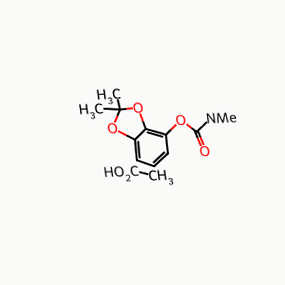 CC(=O)O.CNC(=O)Oc1cccc2c1OC(C)(C)O2